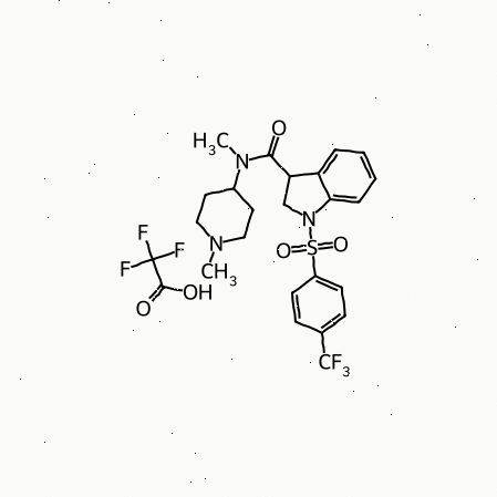 CN1CCC(N(C)C(=O)C2CN(S(=O)(=O)c3ccc(C(F)(F)F)cc3)c3ccccc32)CC1.O=C(O)C(F)(F)F